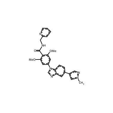 COc1cc(-n2cnc3cc(-c4cnn(C)c4)ccc32)cc(OC)c1C(=O)NCc1ccccn1